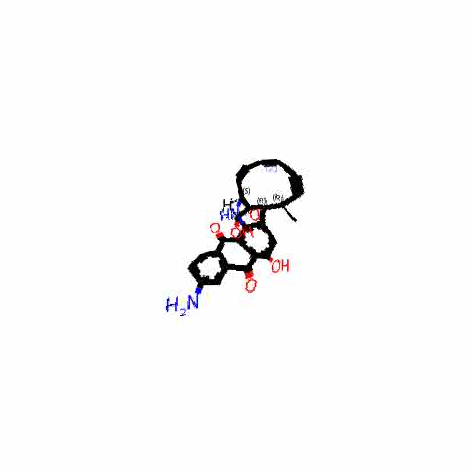 C[C@@H]1C#C/C=C\C#C[C@@H]2Nc3c(cc(O)c4c3C(=O)c3ccc(N)cc3C4=O)[C@]13O[C@@]23[C@@H](C)O